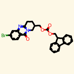 O=C(OCC1CCc2nc3cc(Br)ccc3c(=O)n2C1)OCC1c2ccccc2-c2ccccc21